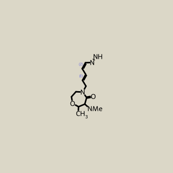 CNC1C(=O)N(C/C=C/C=C\N=N)CCOC1C